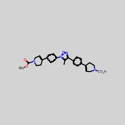 Cc1c(-c2ccc(C3=CCN(C(=O)O)CC3)cc2)nnn1-c1ccc(C2=CCN(C(=O)OC(C)(C)C)CC2)cc1